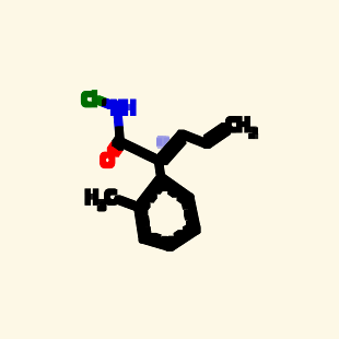 C=C/C=C(/C(=O)NCl)c1ccccc1C